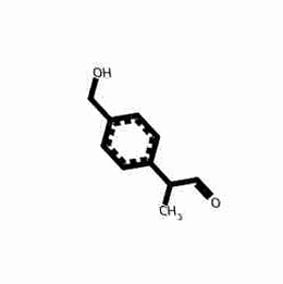 CC(C=O)c1ccc(CO)cc1